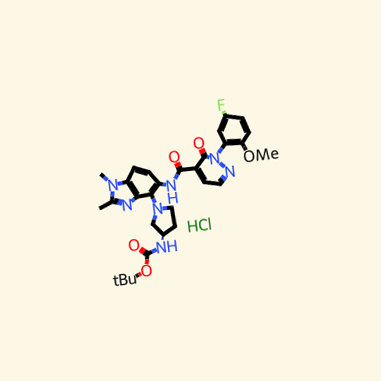 COc1ccc(F)cc1-n1nccc(C(=O)Nc2ccc3c(nc(C)n3C)c2N2CC[C@H](NC(=O)OC(C)(C)C)C2)c1=O.Cl